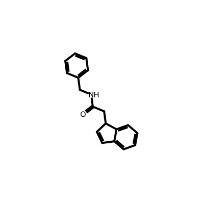 O=C(CC1C=Cc2ccccc21)NCc1ccccc1